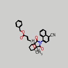 C[C@]12CC[C@](C/C=C/C(=O)OCc3ccccc3)(O1)[C@@H]1C(=O)N(c3ccc(C#N)c4ccccc34)C(=O)[C@@H]12